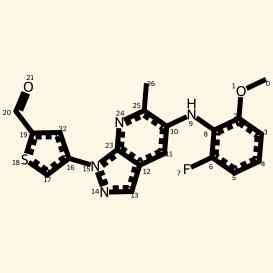 COc1cccc(F)c1Nc1cc2cnn(-c3csc(C=O)c3)c2nc1C